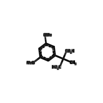 COc1cc(OC)cc(C(C)(C(=O)O)C(=O)O)c1